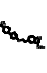 CC(=O)Nc1c[nH]c2ccc(CCOc3ccc(C4CCN(CC(F)(F)F)CC4)cc3)cc12